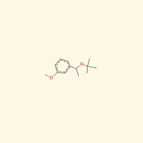 COc1cccc(C(C)OC(C)(C)C)c1